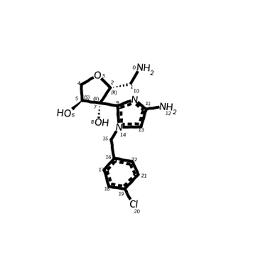 NC[C@H]1OC[C@H](O)[C@]1(O)c1nc(N)cn1Cc1ccc(Cl)cc1